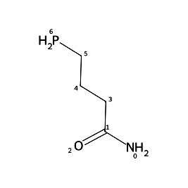 NC(=O)CCCP